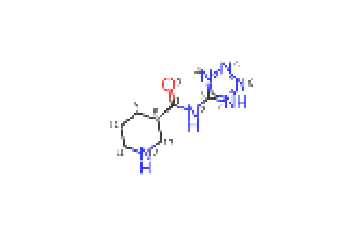 O=C(Nc1nnn[nH]1)[C@@H]1CCCNC1